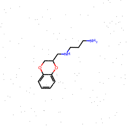 NCCCNCC1COc2ccccc2O1